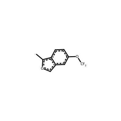 [CH2]c1occ2cc(OC(F)(F)F)ccc12